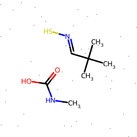 CC(C)(C)C=NS.CNC(=O)O